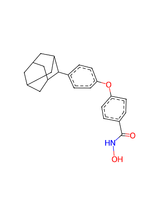 O=C(NO)c1ccc(Oc2ccc(C3C4CC5CC(C4)CC3C5)cc2)cc1